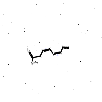 C=C/C=C\C=C/CC(=O)OC